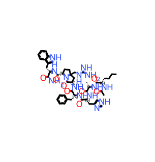 CCCC[C@H](NC(C)=O)C(=O)N[C@@H](C)C(=O)N[C@@H](Cc1c[nH]cn1)C(=O)N[C@H](Cc1ccccc1)C(=O)N[C@H]1CC2(CNC(=N)N)CC[C@@H](C(=O)N[C@@H](Cc3c[nH]c4ccccc34)C(N)=O)N2C1=O